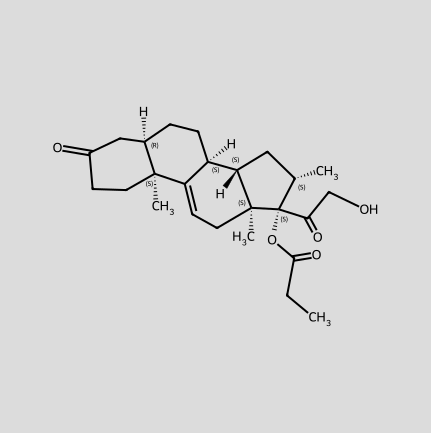 CCC(=O)O[C@@]1(C(=O)CO)[C@@H](C)C[C@H]2[C@@H]3CC[C@@H]4CC(=O)CC[C@]4(C)C3=CC[C@@]21C